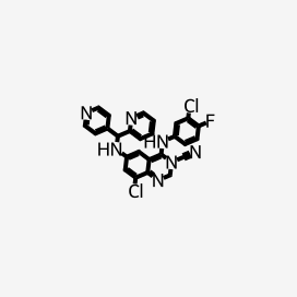 N#CN1CN=c2c(Cl)cc(NC(c3ccncc3)c3ccccn3)cc2=C1Nc1ccc(F)c(Cl)c1